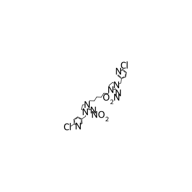 O=[N+]([O-])N=C1N(CCCCCCN2CCN(Cc3ccc(Cl)nc3)C2=N[N+](=O)[O-])CCN1Cc1ccc(Cl)nc1